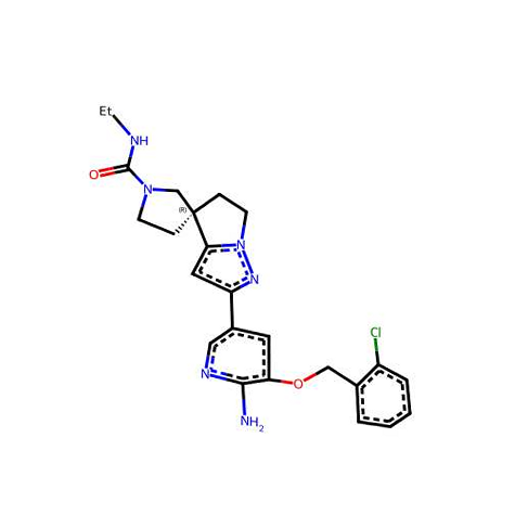 CCNC(=O)N1CC[C@@]2(CCn3nc(-c4cnc(N)c(OCc5ccccc5Cl)c4)cc32)C1